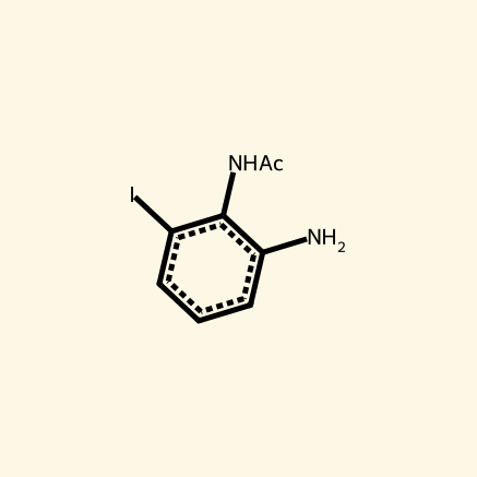 CC(=O)Nc1c(N)cccc1I